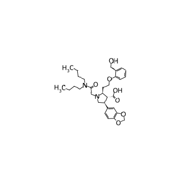 CCCCN(CCCC)C(=O)CN1C[C@H](c2ccc3c(c2)OCO3)[C@@H](C(=O)O)[C@@H]1CCOc1ccccc1CO